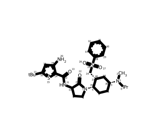 CC(C)N(C)[C@@H]1CC[C@H](N2CCC(NC(=O)c3sc(C(C)(C)C)cc3N)C2=O)[C@H](CS(=O)(=O)c2ccccc2)C1